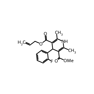 C=CCOC(=O)C1=C(C)NC(C)=C(C(=O)OC)C1c1ccccc1F